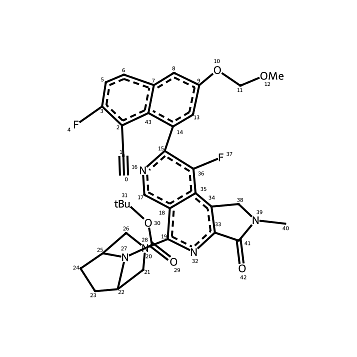 C#Cc1c(F)ccc2cc(OCOC)cc(-c3ncc4c(N5CC6CCC(C5)N6C(=O)OC(C)(C)C)nc5c(c4c3F)CN(C)C5=O)c12